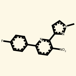 Cn1ccc(-c2nc(-c3ccc(F)cc3)ccc2[N+](=O)[O-])n1